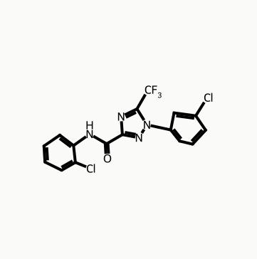 O=C(Nc1ccccc1Cl)c1nc(C(F)(F)F)n(-c2cccc(Cl)c2)n1